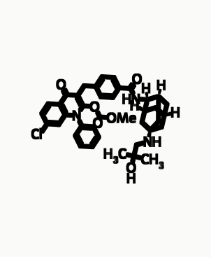 COC(=O)Oc1c(Cc2ccc(C(=O)N[C@@H]3[C@@H]4C[C@@H]5C[C@H]3C[C@](NCC(C)(C)O)(C5)C4)cc2)c(=O)c2ccc(Cl)cc2n1-c1ccccc1